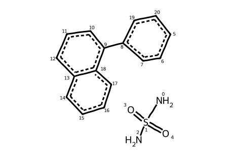 NS(N)(=O)=O.c1ccc(-c2cccc3ccccc23)cc1